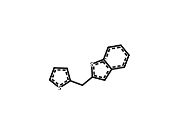 c1csc(Cc2cc3ccccc3s2)c1